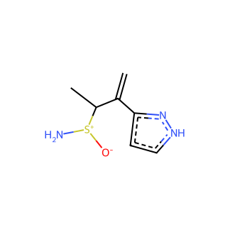 C=C(c1cc[nH]n1)C(C)[S+](N)[O-]